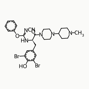 CN1CCC(N2CCN(C(=O)[C@@H](Cc3cc(Br)c(O)c(Br)c3)N/C(=N\C#N)Oc3ccccc3)CC2)CC1